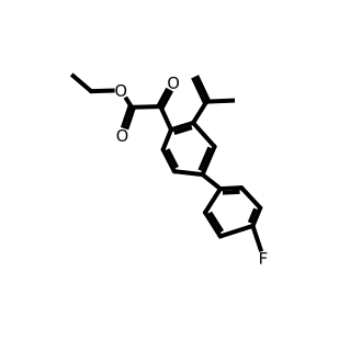 C=C(C)c1cc(-c2ccc(F)cc2)ccc1C(=O)C(=O)OCC